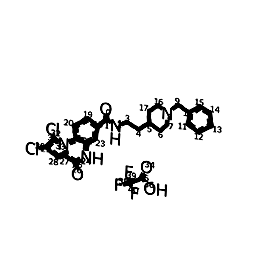 O=C(NCCC1CCN(Cc2ccccc2)CC1)c1ccc2c(c1)[nH]c(=O)c1cc(Cl)c(Cl)n12.O=C(O)C(F)(F)F